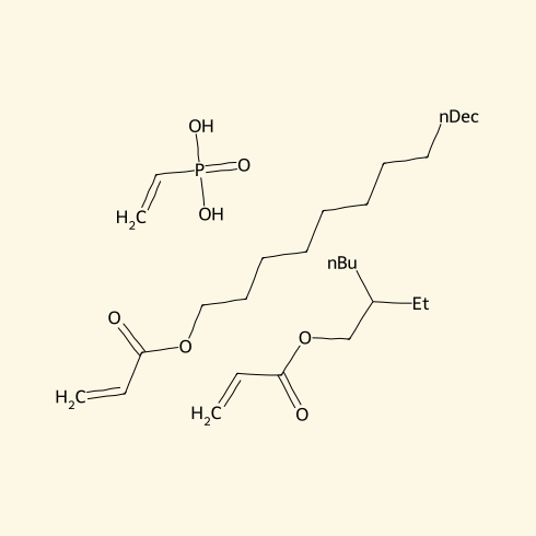 C=CC(=O)OCC(CC)CCCC.C=CC(=O)OCCCCCCCCCCCCCCCCCC.C=CP(=O)(O)O